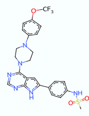 CS(=O)(=O)Nc1ccc(-c2cc3c(N4CCN(c5ccc(OC(F)(F)F)cc5)CC4)ncnc3[nH]2)cc1